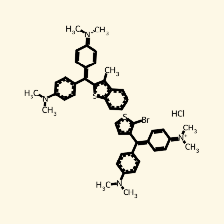 CN(C)c1ccc(C(=C2C=CC(=[N+](C)C)C=C2)c2ccsc2Br)cc1.Cc1c(C(=C2C=CC(=[N+](C)C)C=C2)c2ccc(N(C)C)cc2)sc2ccccc12.Cl